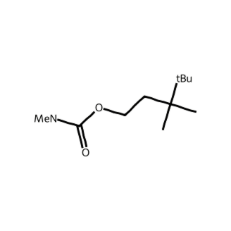 CNC(=O)OCCC(C)(C)C(C)(C)C